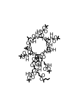 CCCC(C)OC(=O)CCC(=O)N[C@@H](CCNC(=O)OC(C)(C)C)C(=O)N[C@H](C(=O)N[C@@H](CCNC(=O)OC(C)(C)C)C(=O)N[C@H]1CCNC(=O)[C@H]([C@H](C)O)NC(=O)[C@H](CCNC(=O)OC(C)(C)C)NC(=O)[C@H](CCNC(=O)OC(C)(C)C)NC(=O)[C@H](CC(C)C)NC(=O)[C@@H](CC(C)C)NC(=O)[C@H](CCNC(=O)OC(C)(C)C)NC1=O)C(C)O